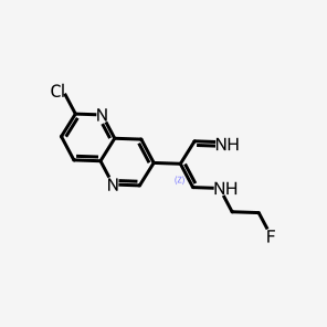 N=C/C(=C\NCCF)c1cnc2ccc(Cl)nc2c1